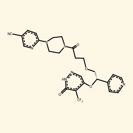 N#Cc1ccc(N2CCN(C(=O)CCOC[C@@H](Oc3cn[nH]c(=O)c3C(F)(F)F)c3ccncc3)CC2)nc1